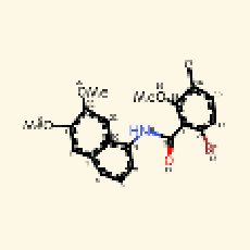 COc1cc2cccc(NC(=O)c3c(Br)ccc(C)c3OC)c2cc1OC